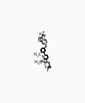 Cc1ccc(CN2CCn3c(nnc3C(F)(F)F)C2)cc1-c1ccc2c(n1)N(C)SN2CC1CC1(F)F